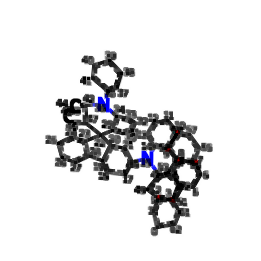 c1ccc(-c2cccc(-c3ccccc3N(c3ccc4c(c3)C3(c5ccccc5-4)c4ccccc4N(c4ccccc4)c4ccccc43)c3ccccc3-c3ccccc3)c2)cc1